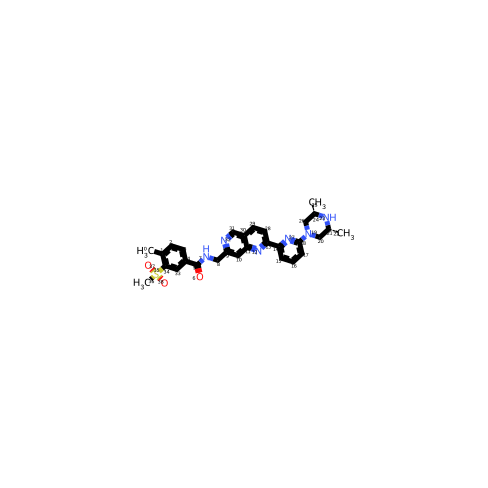 Cc1ccc(C(=O)NCc2cc3nc(-c4cccc(N5C[C@@H](C)N[C@@H](C)C5)n4)ccc3cn2)cc1S(C)(=O)=O